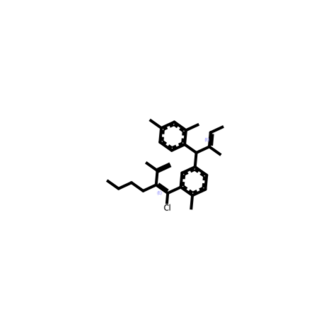 C=C(C)/C(CCCC)=C(/Cl)c1cc(C(/C(C)=C/C)c2ccc(C)cc2C)ccc1C